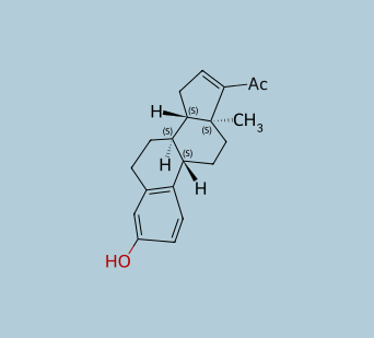 CC(=O)C1=CC[C@H]2[C@@H]3CCc4cc(O)ccc4[C@H]3CC[C@]12C